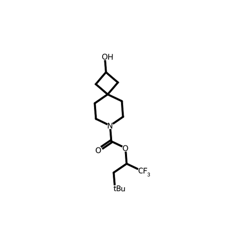 CC(C)(C)CC(OC(=O)N1CCC2(CC1)CC(O)C2)C(F)(F)F